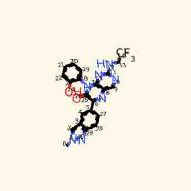 Cn1cc2cc(-c3nc4cnc(NCC(F)(F)F)nc4n(-c4ccccc4O)c3=O)ccc2n1